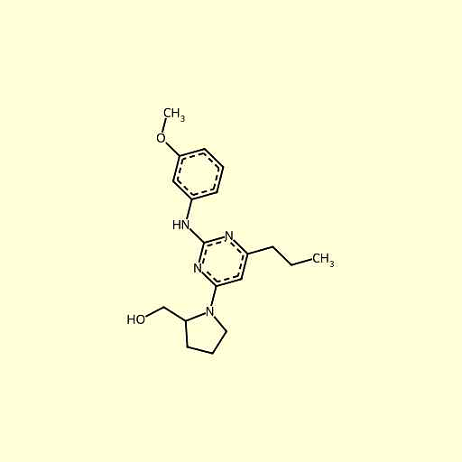 CCCc1cc(N2CCCC2CO)nc(Nc2cccc(OC)c2)n1